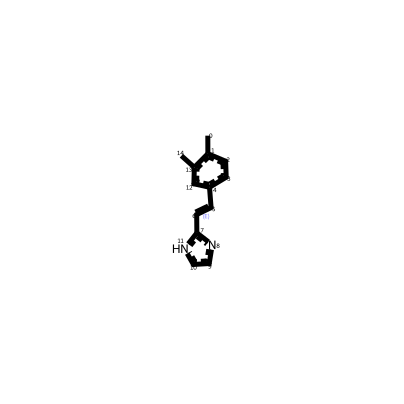 Cc1ccc(/C=C/c2ncc[nH]2)cc1C